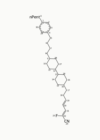 CCCCCc1ccc(CCCCC2CCC(C3CCC(CCC=CC=C(F)C#N)CC3)CC2)cc1